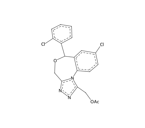 CC(=O)OCc1nnc2n1-c1ccc(Cl)cc1C(c1ccccc1Cl)OC2